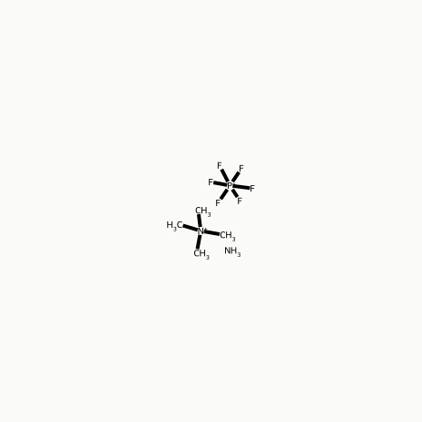 C[N+](C)(C)C.F[P-](F)(F)(F)(F)F.N